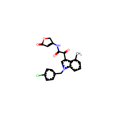 Cc1cccc2c1c(C(=O)C(=O)NC1=CC(=O)OC1)cn2Cc1ccc(Cl)cc1